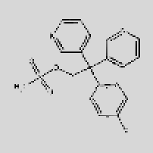 CS(=O)(=O)OCC(c1ccc(F)cc1)(c1cccnc1)c1cccnc1